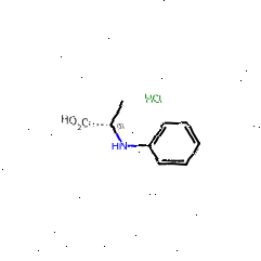 C[C@H](Nc1ccccc1)C(=O)O.Cl